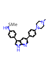 CSNc1ccc(-c2c[nH]c3ncc(-c4ccc(N5CCN(C)CC5)cc4)cc23)cc1